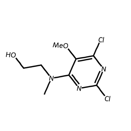 COc1c(Cl)nc(Cl)nc1N(C)CCO